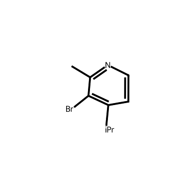 Cc1nccc(C(C)C)c1Br